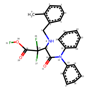 Cc1ccccc1CNC(C(=O)N(c1ccccc1)c1ccccc1)C(F)(F)C(=O)OF